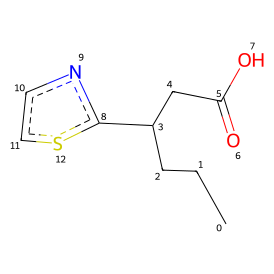 CCCC(CC(=O)O)c1nccs1